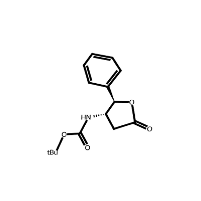 CC(C)(C)OC(=O)N[C@H]1CC(=O)O[C@@H]1c1ccccc1